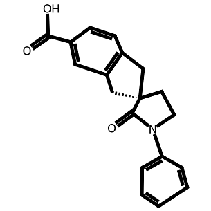 O=C(O)c1ccc2c(c1)C[C@@]1(CCN(c3ccccc3)C1=O)C2